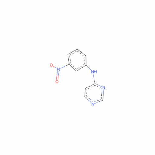 O=[N+]([O-])c1cccc(Nc2ccncn2)c1